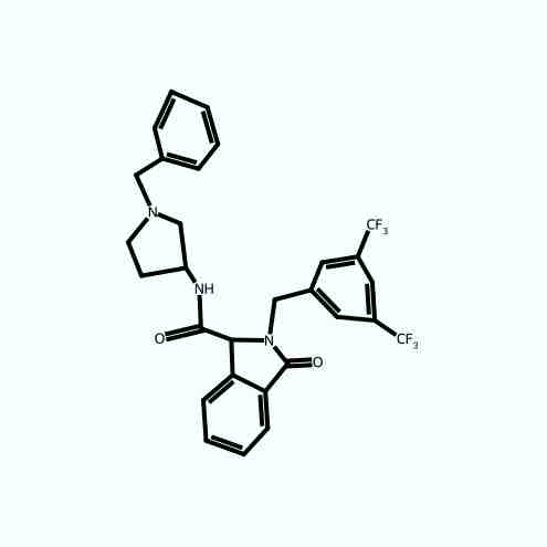 O=C(NC1CCN(Cc2ccccc2)C1)C1c2ccccc2C(=O)N1Cc1cc(C(F)(F)F)cc(C(F)(F)F)c1